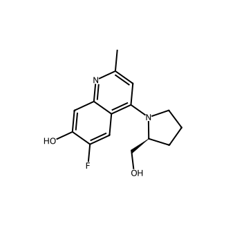 Cc1cc(N2CCC[C@H]2CO)c2cc(F)c(O)cc2n1